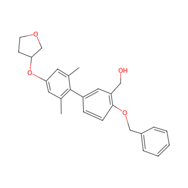 Cc1cc(OC2CCOC2)cc(C)c1-c1ccc(OCc2ccccc2)c(CO)c1